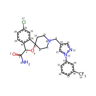 NC(=O)C1OC2(CCN(Cc3cnn(-c4cccc(C(F)(F)F)c4)c3)CC2)c2cc(Cl)ccc21